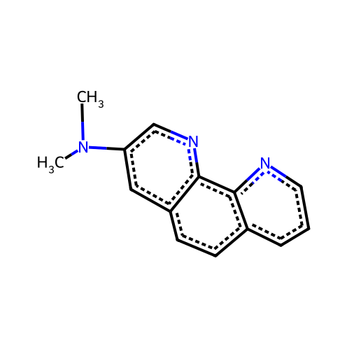 CN(C)c1cnc2c(ccc3cccnc32)c1